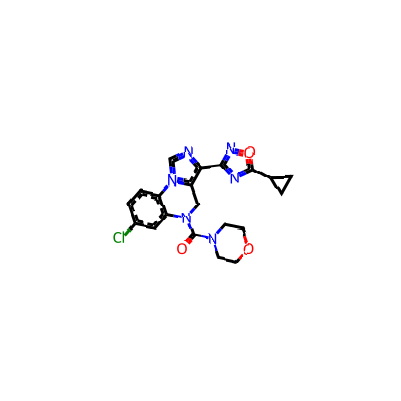 O=C(N1CCOCC1)N1Cc2c(-c3noc(C4CC4)n3)ncn2-c2ccc(Cl)cc21